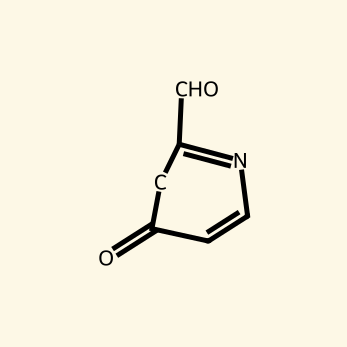 O=CC1=NC=CC(=O)C1